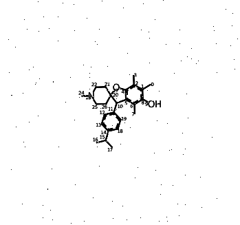 Cc1c(C)c2c(c(C)c1O)C(c1ccc(C(C)C)cc1)C1(CCN(C)CC1)O2